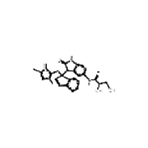 Cc1cc(C)c(CC2(C3C(=O)Nc4ccc(NC(=O)C(O)CO)cc43)C=Cc3ccccc32)[nH]1